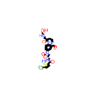 COCc1cc(N2C[C@H](CNC(=O)c3ccc(Cl)s3)OC2=O)ccc1-n1cccc(CCNCCO)c1=O